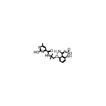 Cc1cc(C(=O)NC(C)(C)COc2cccc3c2C(N)=NS(=O)(=O)N3)nc(O)n1